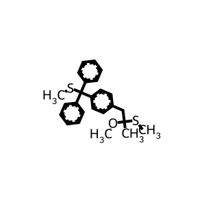 COC(C)(Cc1ccc(C(SC)(c2ccccc2)c2ccccc2)cc1)SC